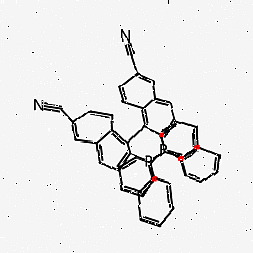 N#Cc1ccc2c(-c3c(P(c4ccccc4)c4ccccc4)ccc4cc(C#N)ccc34)c(P(c3ccccc3)c3ccccc3)ccc2c1